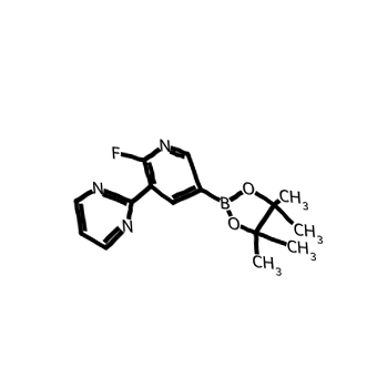 CC1(C)OB(c2cnc(F)c(-c3ncccn3)c2)OC1(C)C